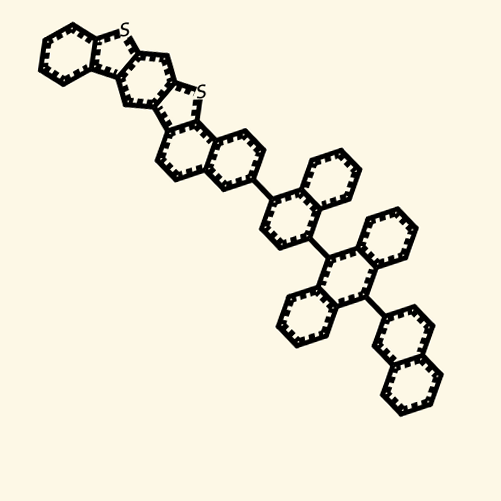 c1ccc2cc(-c3c4ccccc4c(-c4ccc(-c5ccc6c(ccc7c8cc9c(cc8sc67)sc6ccccc69)c5)c5ccccc45)c4ccccc34)ccc2c1